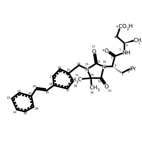 CC(C)C[C@@H](C(=O)N[C@H](C)CC(=O)O)N1C(=O)N(Cc2ccc(C=Cc3ccccc3)cc2)C(C)(C)C1=O